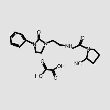 N#CC1CCCN1C(=O)CNCCN1CCN(c2ccccc2)C1=O.O=C(O)C(=O)O